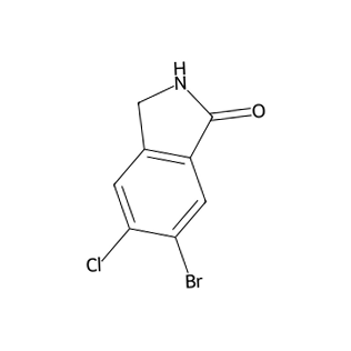 O=C1NCc2cc(Cl)c(Br)cc21